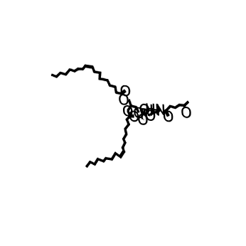 CCCCCCCC/C=C\CCCCCCCC(=O)OCC(COP(=O)(O)OCCNC(=O)CCCC(C)=O)OC(=O)CCCCCCC/C=C\CCCCCCCC